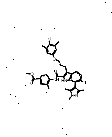 COC(=O)c1ccc(NC(=O)c2[nH]c3c(-c4c(C)nn(C)c4C)c(Cl)ccc3c2CCCOc2cc(C)c(Cl)c(C)c2)c(C)c1